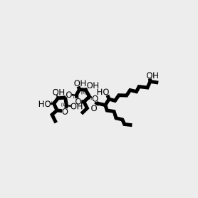 CCCCCCC(C(=O)O[C@@H]1C(CC)O[C@@H](OC2[C@@H](O)[C@H](O)C(CC)O[C@@H]2O)C(O)[C@H]1O)C(O)CCCCCCCC(C)O